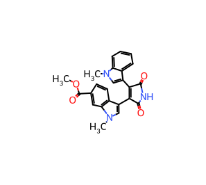 COC(=O)c1ccc2c(C3=C(c4cn(C)c5ccccc45)C(=O)NC3=O)cn(C)c2c1